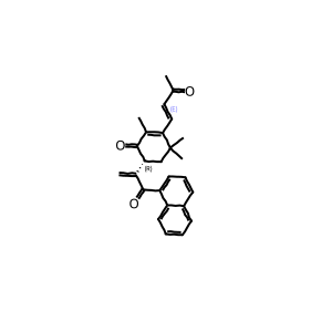 C=C(C(=O)c1cccc2ccccc12)[C@H]1CC(C)(C)C(/C=C/C(C)=O)=C(C)C1=O